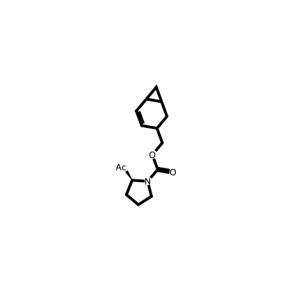 CC(=O)[C@@H]1CCCN1C(=O)OCC1C=CC2CC2C1